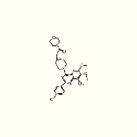 COc1cc2c(N3CCN(CC(=O)N4CCOCC4)CC3)nc(-c3ccc(Cl)cc3)nc2c(OC)c1OC